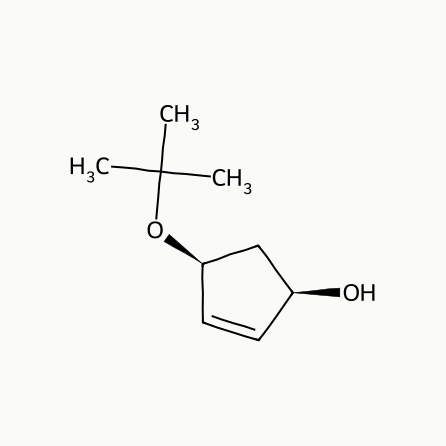 CC(C)(C)O[C@@H]1C=C[C@H](O)C1